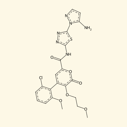 COCCOc1c(-c2c(Cl)cccc2OC)cc(C(=O)Nc2nnc(-n3nccc3N)s2)oc1=O